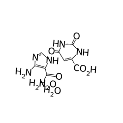 NC(=O)c1[nH]cnc1N.O.O.O=C(O)c1cc(=O)[nH]c(=O)[nH]1